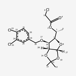 C[C@@H](OC(=O)CCl)[C@H]1O[C@@H]2OC(C)(C)O[C@@H]2[C@H]1OCc1ccc(Cl)c(Cl)c1